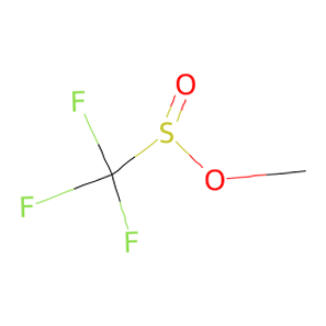 COS(=O)C(F)(F)F